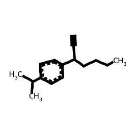 [C]#CC(CCCC)c1ccc(C(C)C)cc1